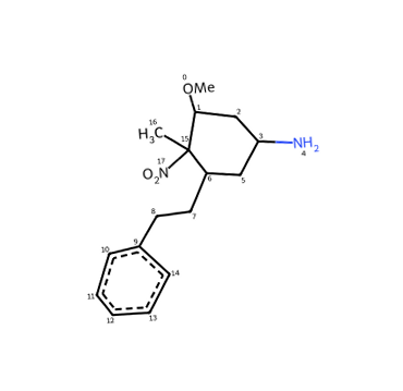 COC1CC(N)CC(CCc2ccccc2)C1(C)[N+](=O)[O-]